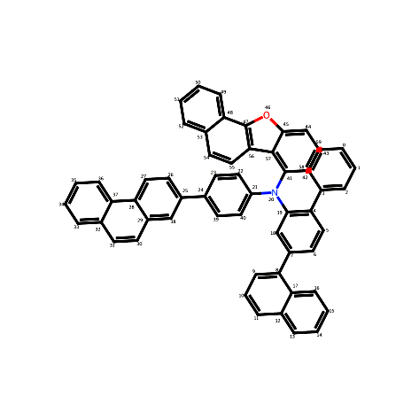 c1ccc(-c2ccc(-c3cccc4ccccc34)cc2N(c2ccc(-c3ccc4c(ccc5ccccc54)c3)cc2)c2cccc3oc4c5ccccc5ccc4c23)cc1